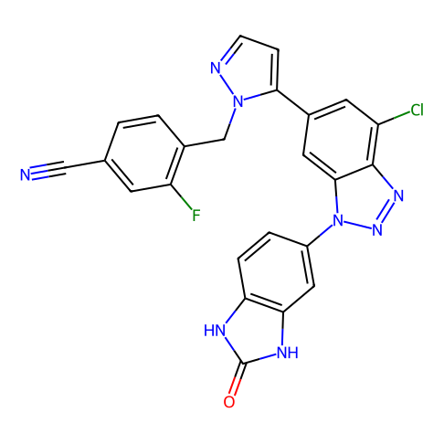 N#Cc1ccc(Cn2nccc2-c2cc(Cl)c3nnn(-c4ccc5[nH]c(=O)[nH]c5c4)c3c2)c(F)c1